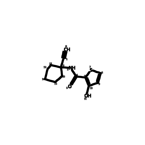 C#CC1(NC(=O)c2sccc2O)CCCCC1